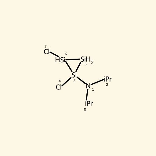 CC(C)N(C(C)C)[Si]1(Cl)[SiH2][SiH]1Cl